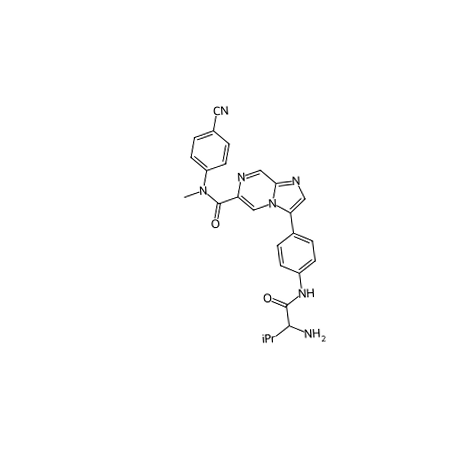 CC(C)C(N)C(=O)Nc1ccc(-c2cnc3cnc(C(=O)N(C)c4ccc(C#N)cc4)cn23)cc1